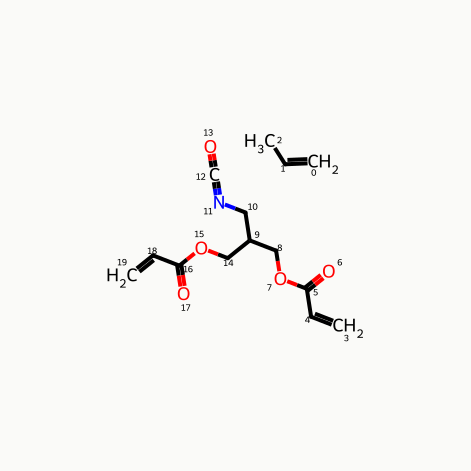 C=CC.C=CC(=O)OCC(CN=C=O)COC(=O)C=C